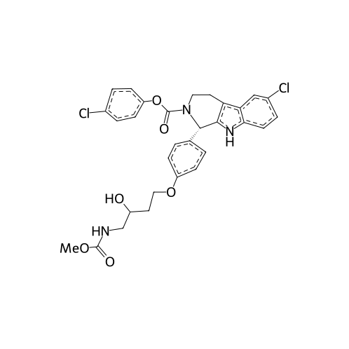 COC(=O)NCC(O)CCOc1ccc([C@H]2c3[nH]c4ccc(Cl)cc4c3CCN2C(=O)Oc2ccc(Cl)cc2)cc1